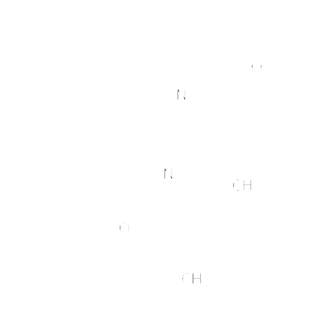 CCC(=O)N(CC)c1ccccc1N1CCOCC1